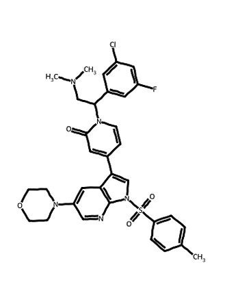 Cc1ccc(S(=O)(=O)n2cc(-c3ccn(C(CN(C)C)c4cc(F)cc(Cl)c4)c(=O)c3)c3cc(N4CCOCC4)cnc32)cc1